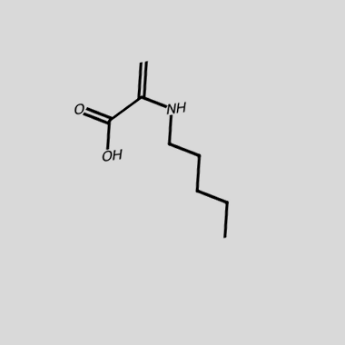 C=C(NCCCCC)C(=O)O